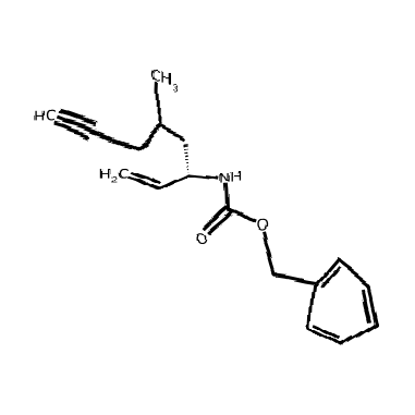 C#CCC(C)C[C@@H](C=C)NC(=O)OCc1ccccc1